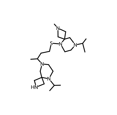 CC(C)N1CCN(SCCC(C)N2CCN(C(C)C)C3(CNC3)C2)C2(CN(C)C2)C1